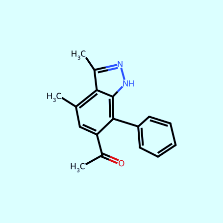 CC(=O)c1cc(C)c2c(C)n[nH]c2c1-c1ccccc1